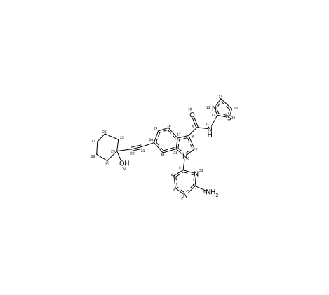 Nc1nccc(-n2cc(C(=O)Nc3nccs3)c3ccc(C#CC4(O)CCCCC4)cc32)n1